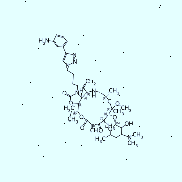 C=C[C@H]1NC[C@H](C)C[C@@](C)(OC)[C@H](O[C@@H]2OC(C)CC(N(C)C)C2O)[C@@H](C)C(=O)[C@@H](C)C(=O)O[C@H](CC)[C@@]2(C)OC(=O)N(CCCCn3cc(-c4cccc(N)c4)nn3)[C@H]12